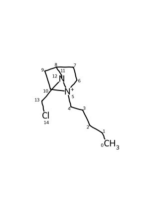 CCCCC[N+]12CCC(CC1)CN2CCl